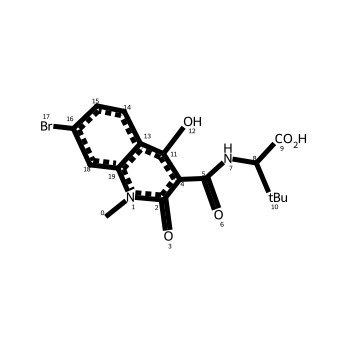 Cn1c(=O)c(C(=O)NC(C(=O)O)C(C)(C)C)c(O)c2ccc(Br)cc21